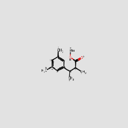 Cc1cc(C(C)C(C)C(=O)OC(C)(C)C)cc(C(F)(F)F)c1